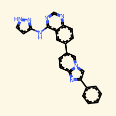 c1ccc(-c2cn3cc(-c4ccc5ncnc(Nc6cc[nH]n6)c5c4)ccc3n2)cc1